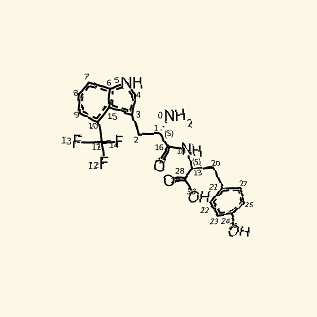 N[C@@H](Cc1c[nH]c2cccc(C(F)(F)F)c12)C(=O)N[C@@H](Cc1ccc(O)cc1)C(=O)O